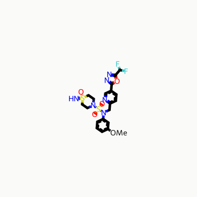 COc1cccc(N(Cc2ccc(-c3nnc(C(F)F)o3)cn2)S(=O)(=O)N2CCS(=N)(=O)CC2)c1